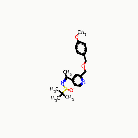 COc1ccc(COCc2cc(/C(C)=N\[S+]([O-])C(C)(C)C)ccn2)cc1